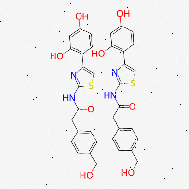 O=C(Cc1ccc(CO)cc1)Nc1nc(-c2ccc(O)cc2O)cs1.O=C(Cc1ccc(CO)cc1)Nc1nc(-c2ccc(O)cc2O)cs1